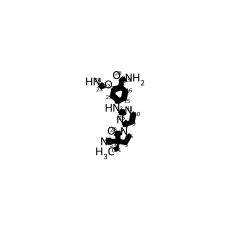 CC[C@]1(C#N)CCN(c2ccnc(Nc3ccc(C(N)=O)c(OC=N)c3)n2)C1=O